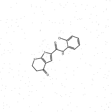 O=C(Nc1ccccc1Cl)c1cc2c(s1)SCCC2=O